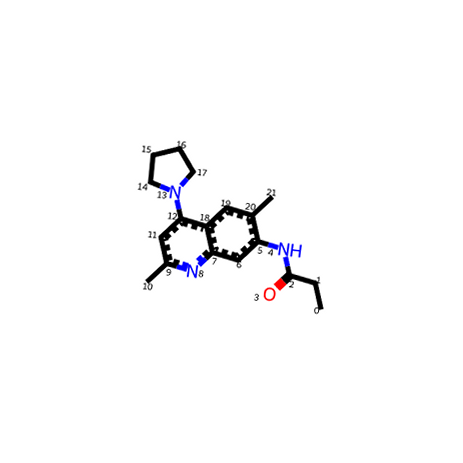 CCC(=O)Nc1cc2nc(C)cc(N3CCCC3)c2cc1C